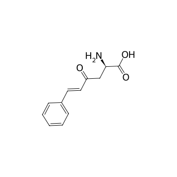 N[C@H](CC(=O)C=Cc1ccccc1)C(=O)O